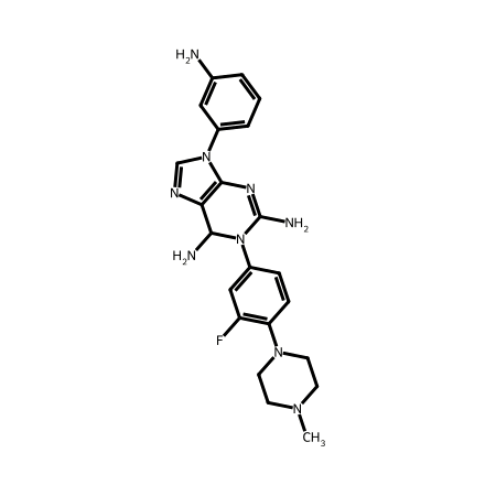 CN1CCN(c2ccc(N3C(N)=Nc4c(ncn4-c4cccc(N)c4)C3N)cc2F)CC1